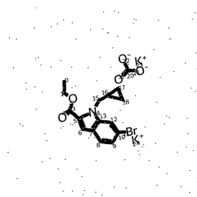 CCOC(=O)c1cc2ccc(Br)cc2n1CC1CC1.O=C([O-])[O-].[K+].[K+]